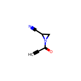 C#CC(=O)N1CC1C#N